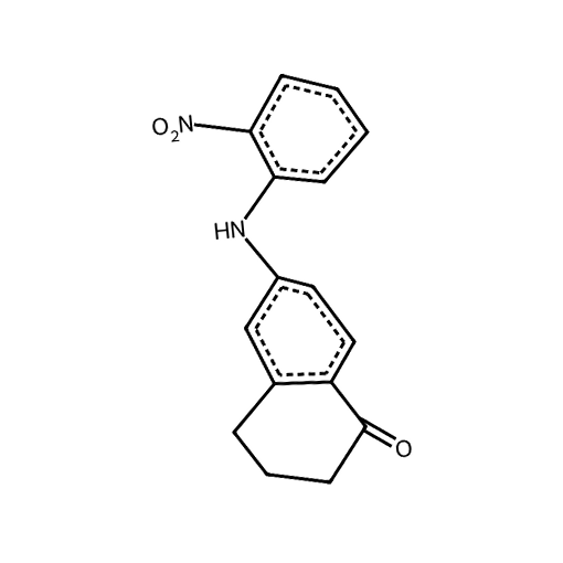 O=C1CCCc2cc(Nc3ccccc3[N+](=O)[O-])ccc21